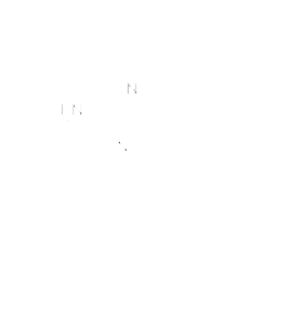 Nc1nc(-c2ccccc2)c2ccccc2n1